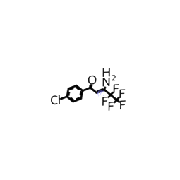 N/C(=C\C(=O)c1ccc(Cl)cc1)C(F)(F)C(F)(F)F